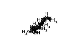 CCCOc1cc(S(=O)(=O)O)c2cc(N=Nc3cc(C)c(N=Nc4cc(C)c(N=Nc5ccc6cc(Nc7ccc(OC)cc7)ccc6c5O)cc4C)cc3C)cc(S(=O)(=O)O)c2c1